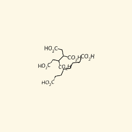 O=C(O)CC(C(=O)O)C(CC(=O)O)C(=O)O.O=C(O)CCCCCCC(=O)O